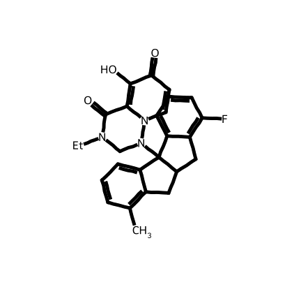 CCN1CN(C23c4cccc(C)c4CC2Cc2c(F)cccc23)n2ccc(=O)c(O)c2C1=O